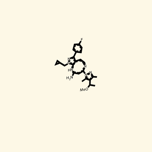 COC(C)c1c(C)nn(-c2cc(N)[nH]c3c(ccn2)c(-c2ccc(F)cc2)nn3CC2CC2)c1C